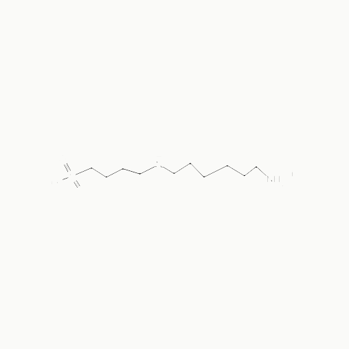 NCCCCCCNCCCCS(=O)(=O)[O-].[Li+]